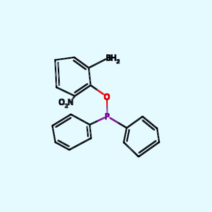 Bc1cccc([N+](=O)[O-])c1OP(c1ccccc1)c1ccccc1